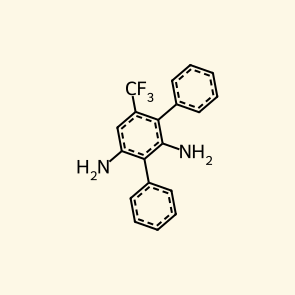 Nc1cc(C(F)(F)F)c(-c2ccccc2)c(N)c1-c1ccccc1